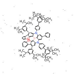 CC(C)c1cc(-c2cc3c(c4oc5ccccc5c24)B2c4c(cc(-c5ccccc5)cc4N(c4ccc(-c5cc(C(C)(C)C)cc(C(C)(C)C)c5)cc4)c4cc(-c5cc(C(C)C)cc(C(C)C)c5)c5c(oc6ccccc65)c42)N3c2ccc(-c3cc(C(C)(C)C)cc(C(C)(C)C)c3)cc2)cc(C(C)C)c1